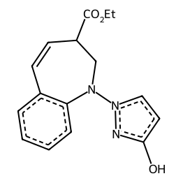 CCOC(=O)C1C=Cc2ccccc2N(n2ccc(O)n2)C1